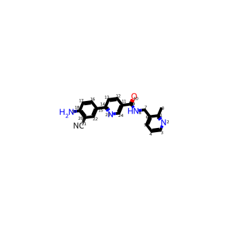 Cc1ncccc1CNC(=O)c1ccc(-c2ccc(N)c(C#N)c2)nc1